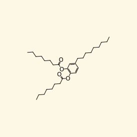 CCCCCCCCCc1ccc(OC(=O)CCCCCCC)c(OC(=O)CCCCCCC)c1